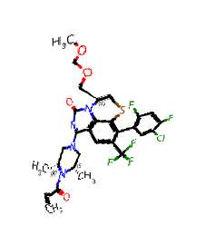 C=CC(=O)N1[C@H](C)CN(c2nc(=O)n3c4c(c(-c5cc(Cl)c(F)cc5F)c(C(F)(F)F)cc24)SC[C@@H]3COCOC)C[C@@H]1C